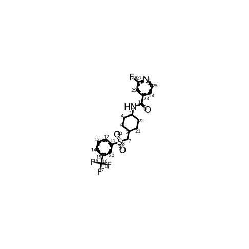 O=C(NC1CCC(CS(=O)(=O)c2cccc(C(F)(F)F)c2)CC1)c1ccnc(F)c1